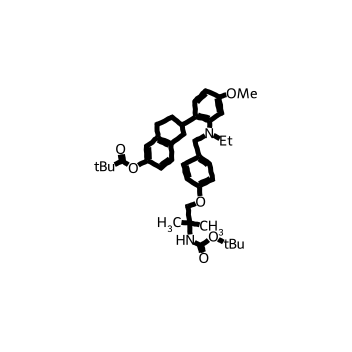 CCN(Cc1ccc(OCC(C)(C)NC(=O)OC(C)(C)C)cc1)c1cc(OC)ccc1C1CCc2cc(OC(=O)C(C)(C)C)ccc2C1